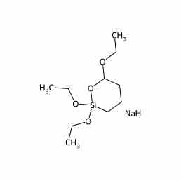 CCOC1CCC[Si](OCC)(OCC)O1.[NaH]